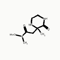 CON(C)C(=O)CC1(C)NCCNC1=O